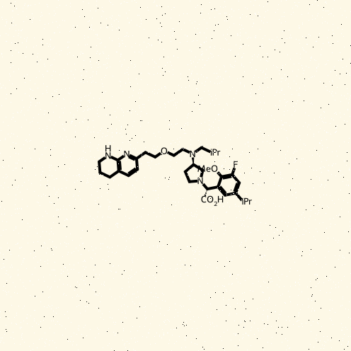 COc1c(F)cc(C(C)C)cc1[C@H](C(=O)O)N1CC[C@@H](N(CCOCCc2ccc3c(n2)NCCC3)CC(C)C)C1